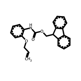 C=CCOc1ccccc1NC(=O)OCC1c2ccccc2-c2ccccc21